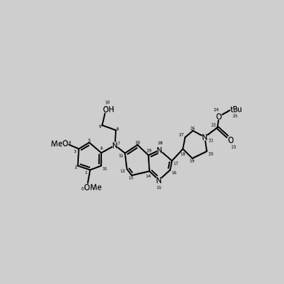 COc1cc(OC)cc(N(CCO)c2ccc3ncc(C4CCN(C(=O)OC(C)(C)C)CC4)nc3c2)c1